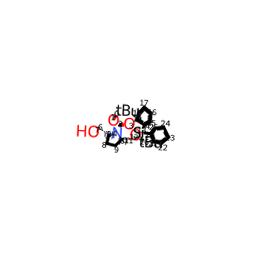 CC(C)(C)OC(=O)N1[C@@H](CO)CC[C@H]1CO[Si](c1ccccc1)(c1ccccc1)C(C)(C)C